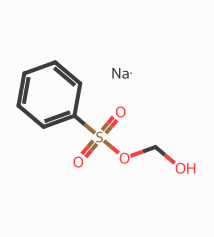 O=S(=O)(OCO)c1ccccc1.[Na]